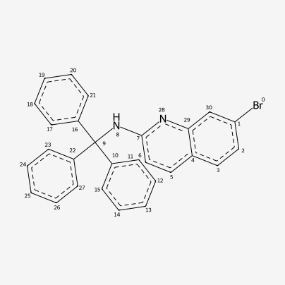 Brc1ccc2ccc(NC(c3ccccc3)(c3ccccc3)c3ccccc3)nc2c1